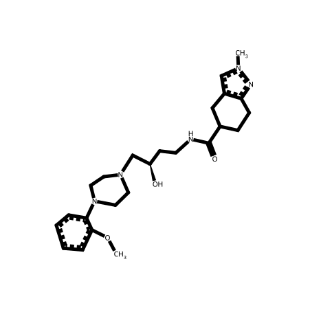 COc1ccccc1N1CCN(C[C@H](O)CCNC(=O)C2CCc3nn(C)cc3C2)CC1